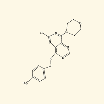 Cc1ccc(CSc2ncnc3c(N4CCOCC4)nc(Cl)nc23)cc1